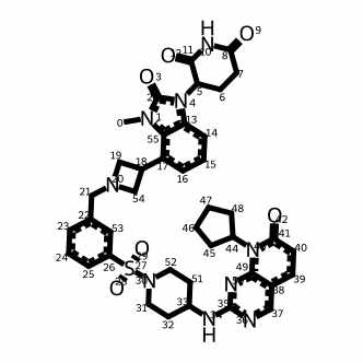 Cn1c(=O)n(C2CCC(=O)NC2=O)c2cccc(C3CN(Cc4cccc(S(=O)(=O)N5CCC(Nc6ncc7ccc(=O)n(C8CCCC8)c7n6)CC5)c4)C3)c21